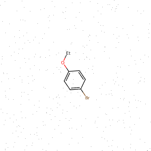 CCOc1[c]cc(Br)cc1